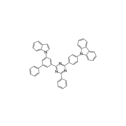 c1ccc(-c2cc(-c3nc(-c4ccccc4)nc(-c4ccc(-n5c6ccccc6c6ccccc65)cc4)n3)cc(-n3ccc4ccccc43)c2)cc1